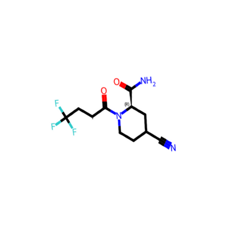 N#CC1CCN(C(=O)[CH]CC(F)(F)F)[C@@H](C(N)=O)C1